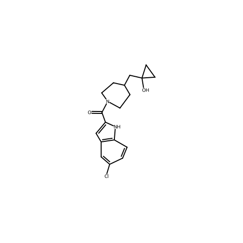 O=C(c1cc2cc(Cl)ccc2[nH]1)N1CCC(CC2(O)CC2)CC1